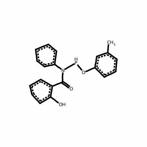 Cc1cccc(OPN(C(=O)c2ccccc2O)c2ccccc2)c1